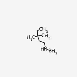 BNCCC(C)(C)CC